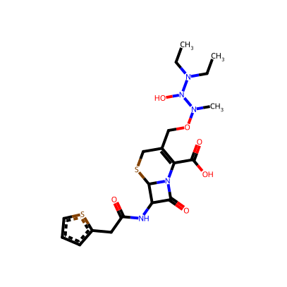 CCN(CC)N(O)N(C)OCC1=C(C(=O)O)N2C(=O)C(NC(=O)Cc3cccs3)C2SC1